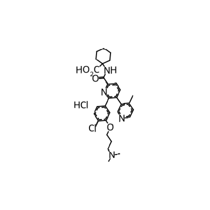 Cc1ccncc1-c1ccc(C(=O)NC2(C(=O)O)CCCCC2)nc1-c1ccc(Cl)c(OCCCN(C)C)c1.Cl